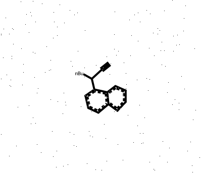 [C]#CC(CCCC)c1cccc2ccccc12